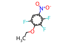 CCOc1c(F)cc([N+](=O)[O-])c(F)c1F